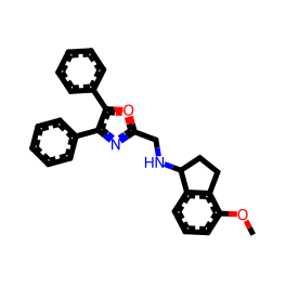 COc1cccc2c1CCC2NCc1nc(-c2ccccc2)c(-c2ccccc2)o1